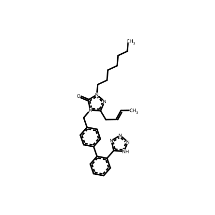 C/C=C/Cc1nn(CCCCCCC)c(=O)n1Cc1ccc(-c2ccccc2-c2nnn[nH]2)cc1